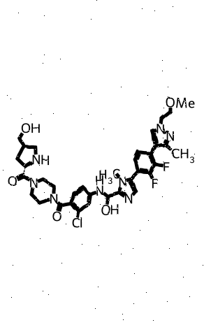 COCCn1cc(-c2ccc(-c3cnc(C(O)Nc4ccc(C(=O)N5CCN(C(=O)[C@@H]6CC(CO)CN6)CC5)c(Cl)c4)n3C)c(F)c2F)c(C)n1